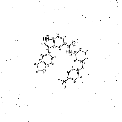 CN(C)c1ccc(CN2CCC[C@@H](NC(=O)c3ccc4[nH]nc(-c5ccc6c(c5)CCO6)c4c3)C2)cc1